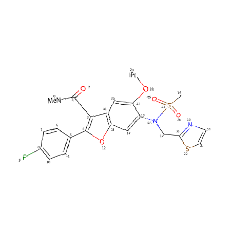 CNC(=O)c1c(-c2ccc(F)cc2)oc2cc(N(Cc3nccs3)S(C)(=O)=O)c(OC(C)C)cc12